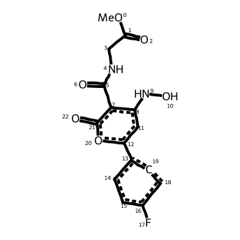 COC(=O)CNC(=O)c1c(NO)cc(-c2ccc(F)cc2)oc1=O